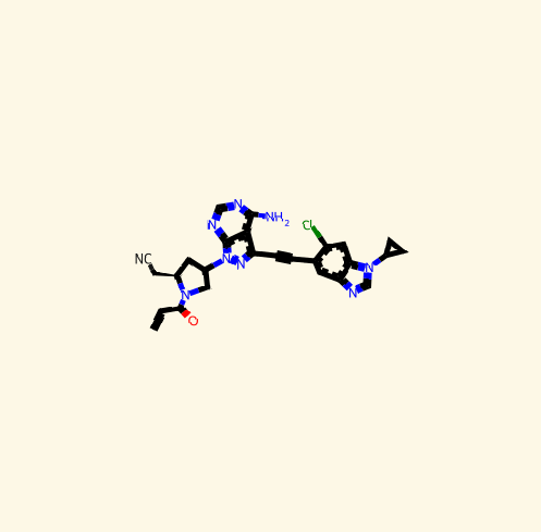 C=CC(=O)N1CC(n2nc(C#Cc3cc4ncn(C5CC5)c4cc3Cl)c3c(N)ncnc32)C[C@@H]1CC#N